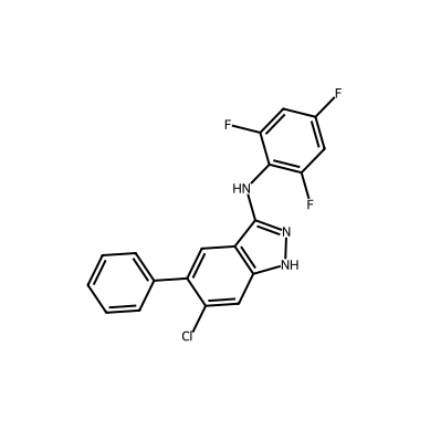 Fc1cc(F)c(Nc2n[nH]c3cc(Cl)c(-c4ccccc4)cc23)c(F)c1